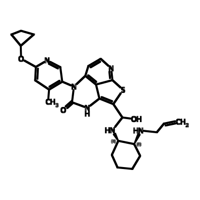 C=CCN[C@H]1CCCC[C@H]1NC(O)c1sc2nccc3c2c1NC(=O)N3c1cnc(OC2CCC2)cc1C